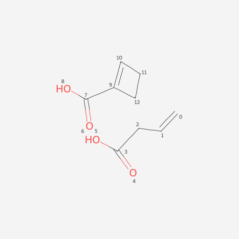 C=CCC(=O)O.O=C(O)C1=CCC1